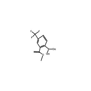 C=C(OC)c1cc(C(F)(F)F)ccc1B(O)O